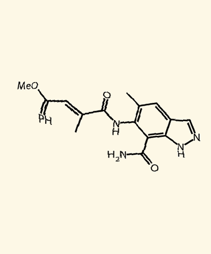 COC(=P)/C=C(\C)C(=O)Nc1c(C)cc2cn[nH]c2c1C(N)=O